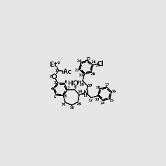 CCC(Oc1ccc2c(c1)C[C@@H](N(Cc1ccccc1)C[C@H](O)c1cccc(Cl)c1)CCC2)C(C)=O